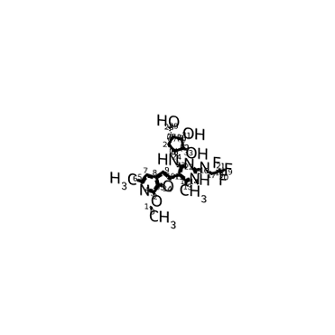 CCOc1nc(C)cc2cc(-c3c(C)nc(NCC(F)(F)F)nc3N[C@@H]3C[C@H](CO)[C@@H](O)[C@H]3O)oc12